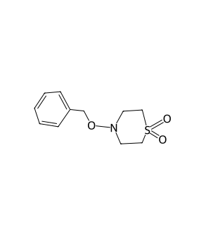 O=S1(=O)CCN(OCc2ccccc2)CC1